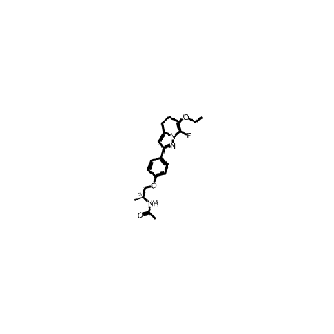 CCOC1=C(F)n2nc(-c3ccc(OC[C@H](C)NC(C)=O)cc3)cc2CC1